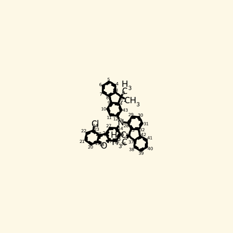 CC1(C)c2ccccc2-c2ccc(N(c3ccc4oc5cccc(Cl)c5c4c3)c3cccc4c3C(C)(C)c3ccccc3-4)cc21